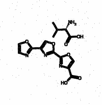 CC(C)[C@H](N)C(=O)O.O=C(O)c1coc(-c2nc(-c3ncco3)co2)n1